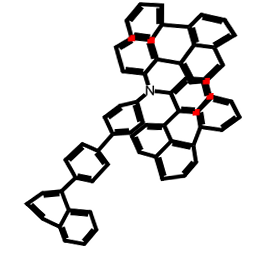 c1ccc(-c2cccc3cccc(-c4ccccc4N(c4ccc(-c5ccc(-c6cccc7ccccc67)cc5)cc4)c4ccccc4-c4cccc5cccc(-c6ccccc6)c45)c23)cc1